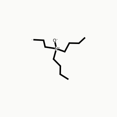 [CH2]CC[N+]([O-])(CCCC)CCCC